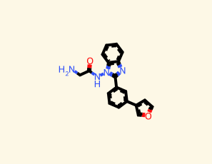 NCC(=O)Nn1c(-c2cccc(-c3ccoc3)c2)nc2ccccc21